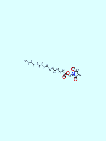 CCCCCCCCCCCCCCCC(=O)OCN1C(=O)C=CC1=O